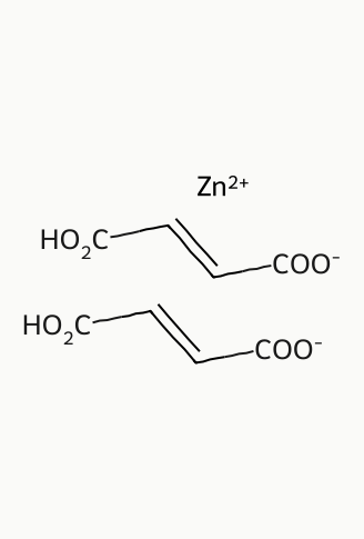 O=C([O-])C=CC(=O)O.O=C([O-])C=CC(=O)O.[Zn+2]